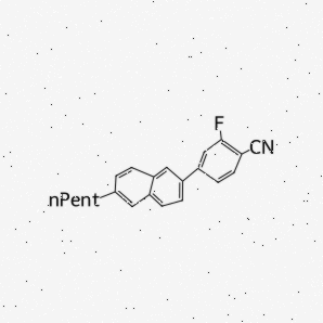 CCCCCc1ccc2cc(-c3ccc(C#N)c(F)c3)ccc2c1